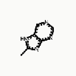 Cc1nc2n[c]ncc2[nH]1